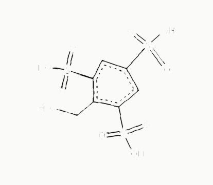 CCc1c(S(=O)(=O)O)cc(S(=O)(=O)O)cc1S(=O)(=O)O